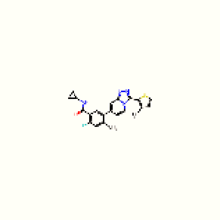 Cc1cc(F)c(C(=O)NC2CC2)cc1-c1ccn2c(-c3sccc3C)nnc2c1